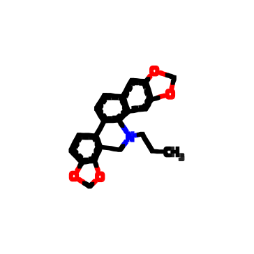 CCCN1Cc2c(ccc3c2OCO3)-c2ccc3cc4c(cc3c21)OCO4